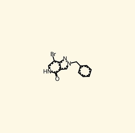 O=c1[nH]cc(Br)c2nn(Cc3ccccc3)cc12